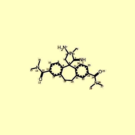 CNC(=N)C1(CCN)c2ccc(C(=O)N(C)C)cc2CCc2cc(C(=O)N(C)C)ccc21